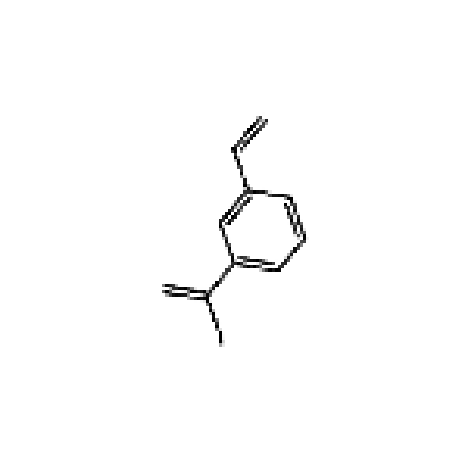 C=Cc1cccc(C(=C)I)c1